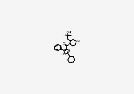 CC(C)(O)CC1CNCCN1C(=O)c1nc(C2CCCCC2)[nH]c1-c1ccccc1